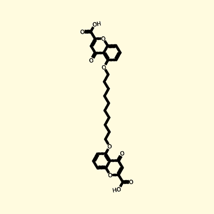 O=C(O)c1cc(=O)c2c(OCCCCCCCCCCOc3cccc4oc(C(=O)O)cc(=O)c34)cccc2o1